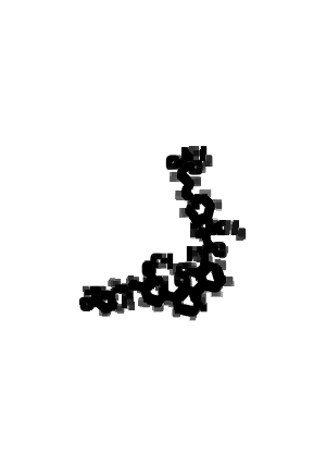 COc1nc(-c2ccnc(-c3cccc(NC(=O)c4nc5c(n4C)CCN(CCCS(N)(=O)=O)C5)c3Cl)c2Cl)ccc1CNC[C@@H]1CCC(=O)N1